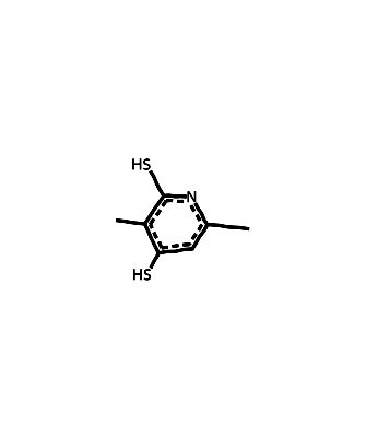 Cc1cc(S)c(C)c(S)n1